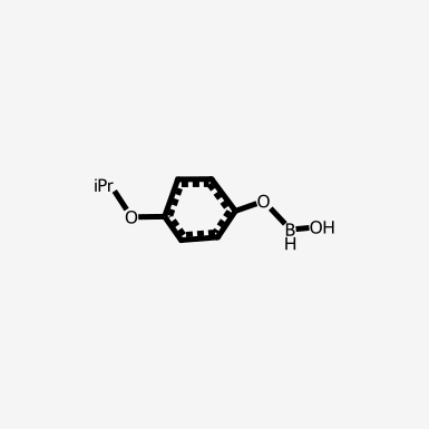 CC(C)Oc1ccc(OBO)cc1